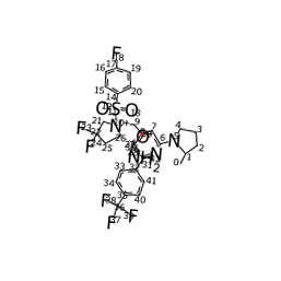 CC1CCCN1c1cc(C[N+]2(S(=O)(=O)c3ccc(F)cc3)CC(F)(F)C[C@H]2C(N)=O)cc(-c2ccc(C(F)(F)F)cc2)n1